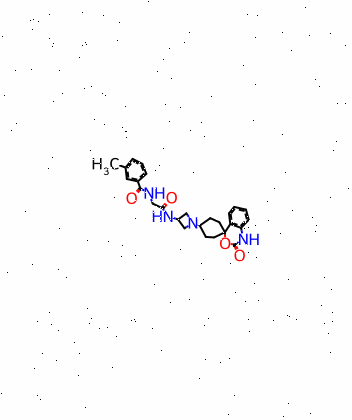 Cc1cccc(C(=O)NCC(=O)NC2CN(C3CCC4(CC3)OC(=O)Nc3ccccc34)C2)c1